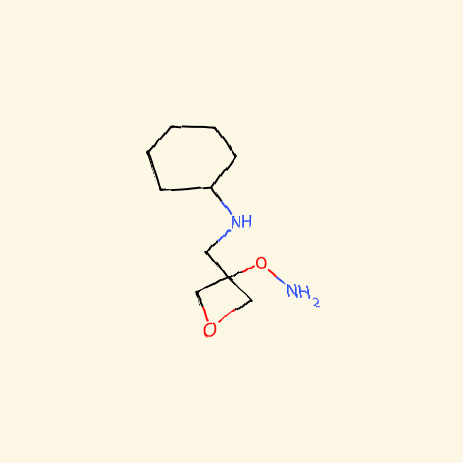 NOC1(CNC2CCCCC2)COC1